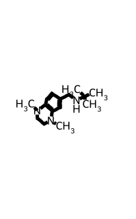 CN1CCN(C)c2cc(CNC(C)(C)C)ccc21